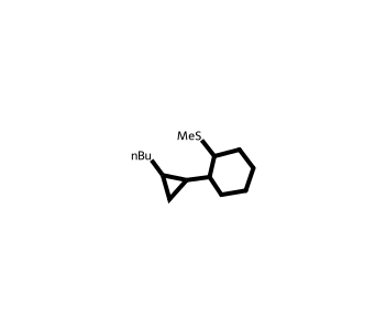 CCCCC1CC1C1CCCCC1SC